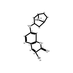 O=c1oc2cc(OC3CC4CCC(C3)N4)ccc2cc1Br